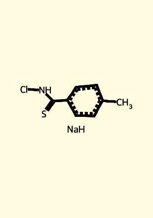 Cc1ccc(C(=S)NCl)cc1.[NaH]